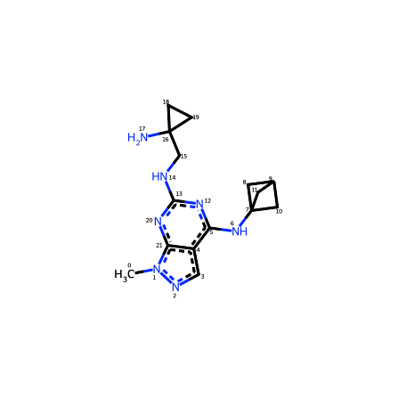 Cn1ncc2c(NC34CC(C3)C4)nc(NCC3(N)CC3)nc21